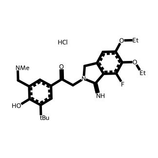 CCOc1cc2c(c(F)c1OCC)C(=N)N(CC(=O)c1cc(CNC)c(O)c(C(C)(C)C)c1)C2.Cl